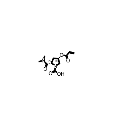 C=CC(=O)O[C@@H]1C[C@@H](C(=O)N(C)C)N(C(=O)O)C1